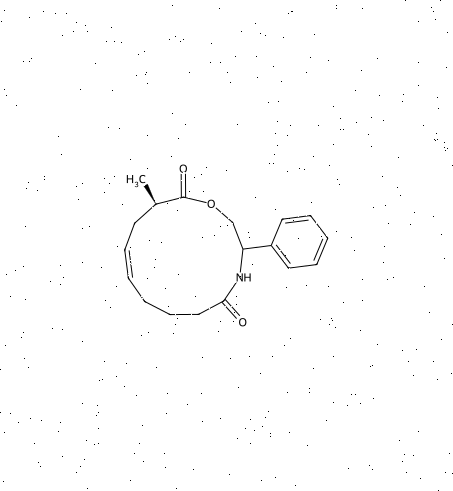 C[C@@H]1C/C=C\CCCC(=O)NC(c2ccccc2)COC1=O